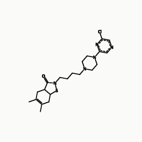 CC1=C(C)CC2C(=O)N(CCCCN3CCN(c4cncc(Cl)n4)CC3)SC2C1